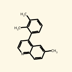 Cc1ccc2nccc(-c3cccc(C)c3C)c2c1